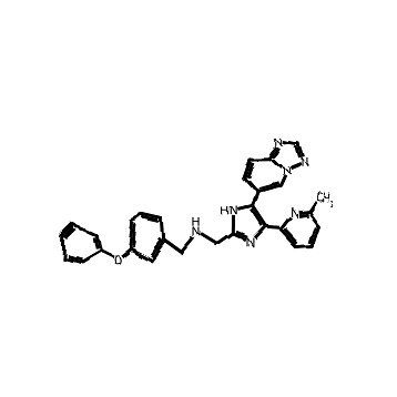 Cc1cccc(-c2nc(CNCc3cccc(Oc4ccccc4)c3)[nH]c2-c2ccc3ncnn3c2)n1